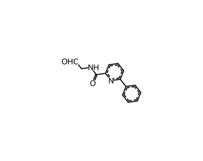 O=CCNC(=O)c1cccc(-c2ccccc2)n1